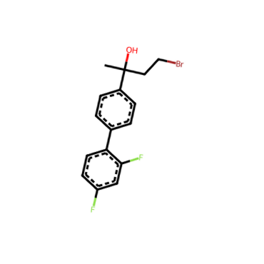 CC(O)(CCBr)c1ccc(-c2ccc(F)cc2F)cc1